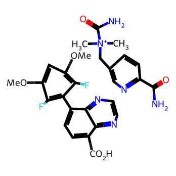 COc1cc(OC)c(F)c(-c2ccc(C(=O)O)c3nccnc23)c1F.C[N+](C)(Cc1ccc(C(N)=O)nc1)C(N)=O